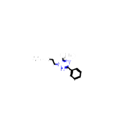 COCCn1nc(-c2ccccc2)nc1C=O